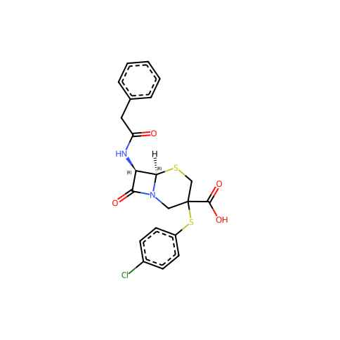 O=C(Cc1ccccc1)N[C@@H]1C(=O)N2CC(Sc3ccc(Cl)cc3)(C(=O)O)CS[C@H]12